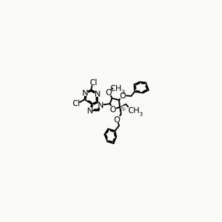 CC[C@@]1(COCc2ccccc2)OC(n2cnc3c(Cl)nc(Cl)nc32)C(OC)C1OCc1ccccc1